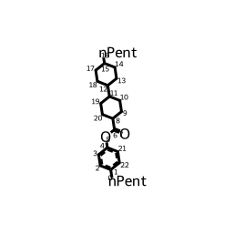 CCCCCc1ccc(OC(=O)C2CCC(C3CCC(CCCCC)CC3)CC2)cc1